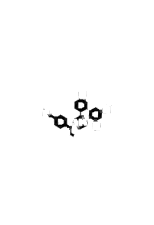 CC[C@@H](c1ccc(C#N)cc1)N1CCN(c2ccc(Cl)cc2Cl)[C@H](c2ccc(Cl)cc2)C1